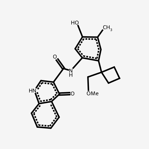 COCC1(c2cc(C)c(O)cc2NC(=O)c2c[nH]c3ccccc3c2=O)CCC1